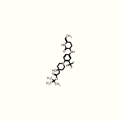 C/C=C1\CCC(Nc2ccc(N3CCC(O)(CC(=O)OC(C)(C)C)CC3)c(C(F)(F)F)c2)C(=O)N1